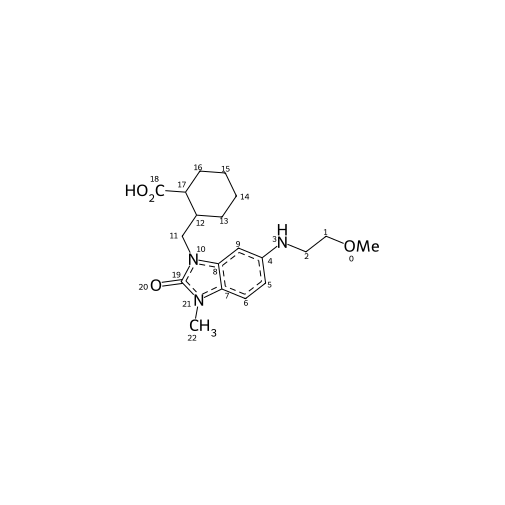 COCCNc1ccc2c(c1)n(CC1CCCCC1C(=O)O)c(=O)n2C